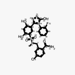 CN(Cc1cc(Cl)ccc1C(N)=O)S(=O)(=O)c1cc(-c2nnc(O)n2-c2ccccc2F)c(O)cc1O